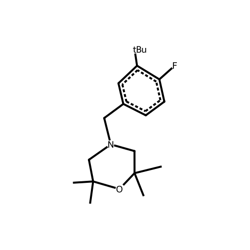 CC1(C)CN(Cc2ccc(F)c(C(C)(C)C)c2)CC(C)(C)O1